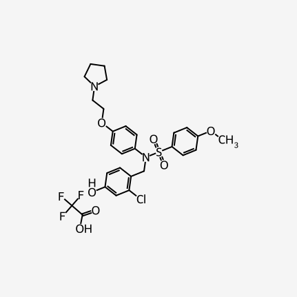 COc1ccc(S(=O)(=O)N(Cc2ccc(O)cc2Cl)c2ccc(OCCN3CCCC3)cc2)cc1.O=C(O)C(F)(F)F